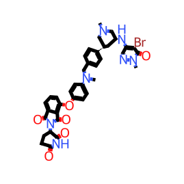 CN1C[C@H](Nc2cnn(C)c(=O)c2Br)C[C@H](c2ccc(CN(C)c3ccc(Oc4cccc5c4C(=O)N(C4CCC(=O)NC4=O)C5=O)cc3)cc2)C1